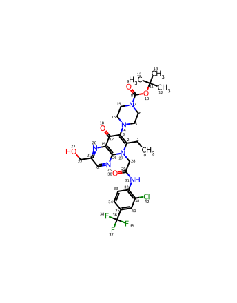 CCc1c(N2CCN(C(=O)OC(C)(C)C)CC2)c(=O)c2nc(CO)cnc2n1CC(=O)Nc1ccc(C(F)(F)F)cc1Cl